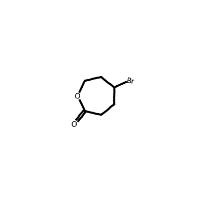 O=C1CCC(Br)CCO1